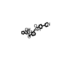 CN(C)C1(CNC(=O)c2cccc(CNC(=O)c3ccc(-c4ccncc4)cc3)c2)CCCC1